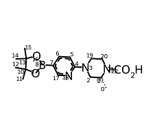 C[C@@H]1CN(c2ccc(B3OC(C)(C)C(C)(C)O3)cn2)CCN1C(=O)O